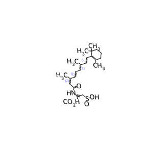 CC1=C(/C=C/C(C)=C/C=C/C(C)=C\C(=O)N[C@@H](CS(=O)O)C(=O)O)C(C)(C)CCC1